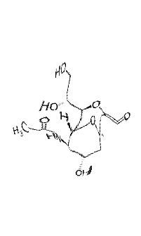 CC(=O)N[C@H]1[C@H]2O[C](C[C@@H]1O)C(=O)O[C@@H]2[C@H](O)CO